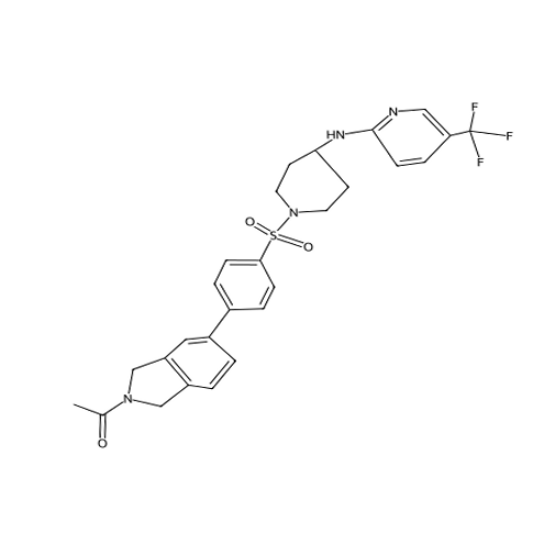 CC(=O)N1Cc2ccc(-c3ccc(S(=O)(=O)N4CCC(Nc5ccc(C(F)(F)F)cn5)CC4)cc3)cc2C1